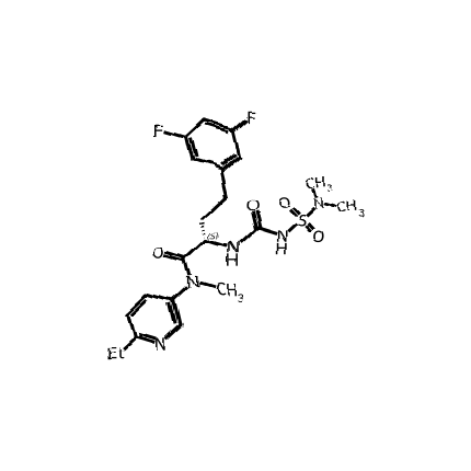 CCc1ccc(N(C)C(=O)[C@H](CCc2cc(F)cc(F)c2)NC(=O)NS(=O)(=O)N(C)C)cn1